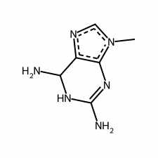 Cn1cnc2c1N=C(N)NC2N